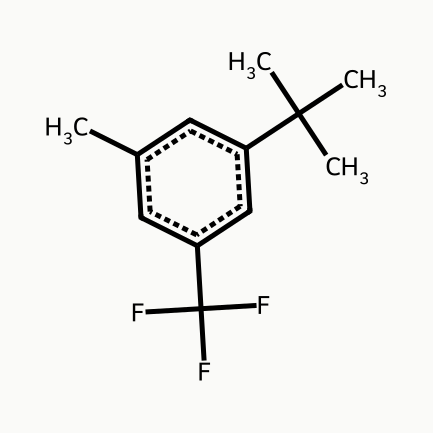 Cc1cc(C(C)(C)C)cc(C(F)(F)F)c1